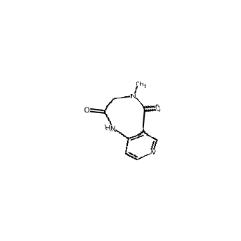 CN1CC(=O)Nc2ccncc2C1=O